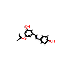 C=C(C)Oc1cc(O)cc(/C=C/c2ccc(O)cc2)c1